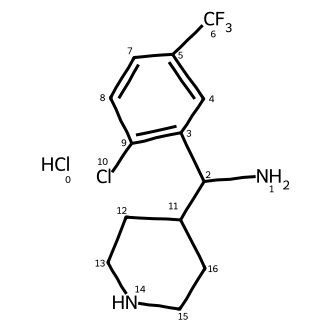 Cl.NC(c1cc(C(F)(F)F)ccc1Cl)C1CCNCC1